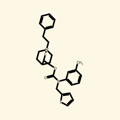 Cc1cccc(N(Cc2cccs2)C(=O)OC2C[N+]3(CCc4ccccc4)CCC2CC3)c1